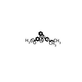 CCCC(C)N1CCC(N(Cc2ccccc2)C(=O)Nc2ccc(C(=O)OC)cc2Cl)CC1